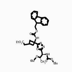 CCOC(=O)CC1CC(NC(=O)OCC2c3ccccc3-c3ccccc32)(c2nnc([C@@H](NC(=O)OC(C)(C)C)[C@H](C)OC(C)(C)C)o2)C1